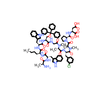 CCCC[C@H](NC(=O)[C@H](Cc1c[nH]c2ccccc12)NC(=O)[C@H](C)N)C(=O)N[C@@H](Cc1c[nH]c2ccccc12)C(=O)N[C@@H](COC(c1ccccc1)(c1ccccc1)c1ccccc1)C(=O)NCC(=O)N(C)[C@@H](C)C(=O)N(C)[C@@H](Cc1cccc(Cl)c1)C(=O)N(C)CC(=O)N1CCC[C@H]1C(=O)N[C@@H](CC(=O)O)C(=O)O